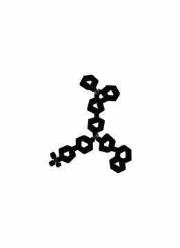 CS(C)(C)c1ccc(-c2ccc(N(c3ccc(-c4ccc5c(c4)c4ccccc4n5-c4ccccc4)cc3)c3ccc(-c4cccc5ccccc45)cc3)cc2)cc1